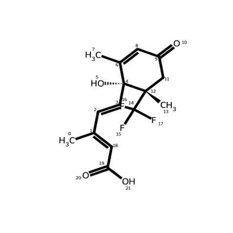 CC(C=C[C@@]1(O)C(C)=CC(=O)C[C@]1(C)C(F)(F)F)=CC(=O)O